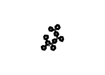 c1ccc(-c2cc(-c3ccccc3)nc(N(c3ccccc3)c3ccc(N(c4ccccc4)c4ccc(N(c5ccccc5)c5ccccc5)cc4)cc3)c2)cc1